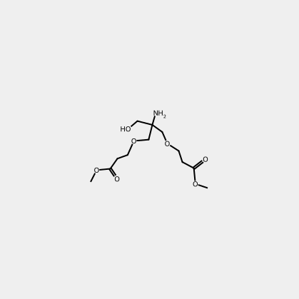 COC(=O)CCOCC(N)(CO)COCCC(=O)OC